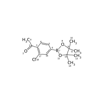 CC(=O)c1ccc(B2OC(C)(C)C(C)(C)O2)cc1Cl